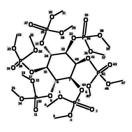 COP(=O)(OC)O[C@H]1[C@H](OP(=O)(OC)OC)[C@@H](OP(=O)(OC)OC)[C@H](OP(=O)(OC)OC)[C@@H](OP(=O)(OC)OC)[C@H]1OP(=O)(OC)OC